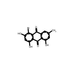 Cc1cc(O)c2c(c1)C(=O)c1c(Br)c(O)cc(O)c1C2=O